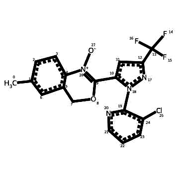 Cc1ccc2c(c1)COC(c1cc(C(F)(F)F)nn1-c1ncccc1Cl)=[N+]2[O-]